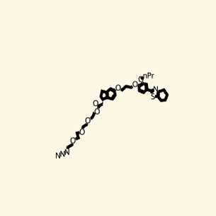 CCCOc1cc(-c2nc3c(s2)CCCC3)ccc1OCCCOc1ccc2c(c1)CC[C@H]2CC(=O)OCCOCCOCCOCCN=[N+]=[N-]